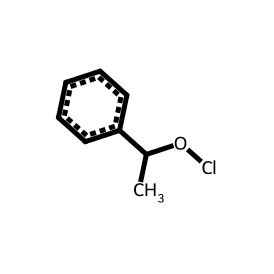 CC(OCl)c1ccccc1